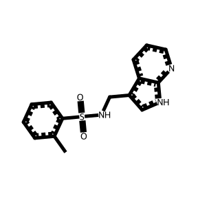 Cc1ccccc1S(=O)(=O)NCc1c[nH]c2ncccc12